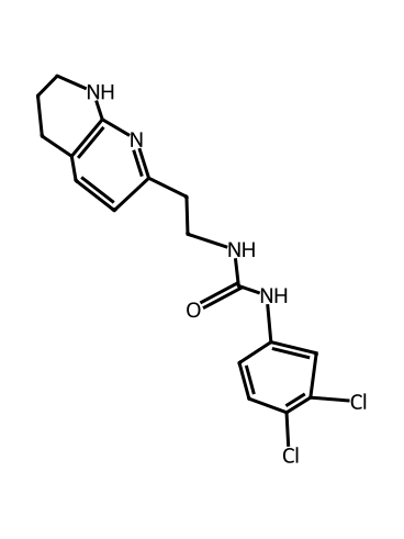 O=C(NCCc1ccc2c(n1)NCCC2)Nc1ccc(Cl)c(Cl)c1